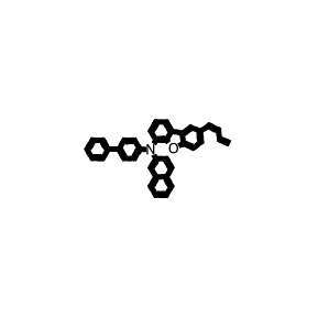 C=C/C=C\c1ccc2oc3c(N(c4ccc(-c5ccccc5)cc4)c4ccc5ccccc5c4)cccc3c2c1